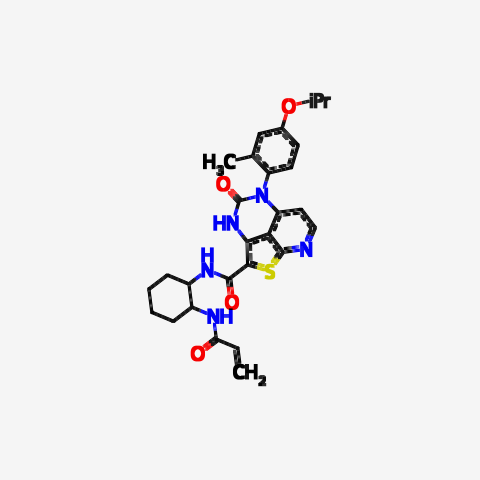 C=CC(=O)NC1CCCCC1NC(=O)c1sc2nccc3c2c1NC(=O)N3c1ccc(OC(C)C)cc1C